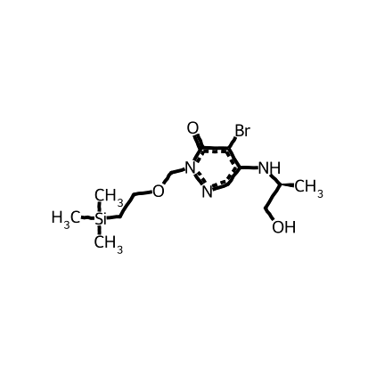 C[C@@H](CO)Nc1cnn(COCC[Si](C)(C)C)c(=O)c1Br